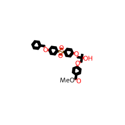 COC(=O)c1ccc(OCC(C)(O)COc2ccc(S(=O)(=O)c3ccc(OCc4ccccc4)cc3)cc2)cc1